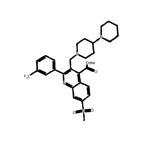 COC(=O)c1c(CN2CCC(N3CCCCC3)CC2)c(-c2cccc(C(F)(F)F)c2)nc2cc(S(C)(=O)=O)ccc12